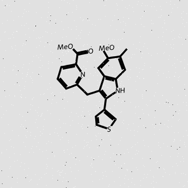 COC(=O)c1cccc(Cc2c(-c3ccsc3)[nH]c3cc(C)c(OC)cc23)n1